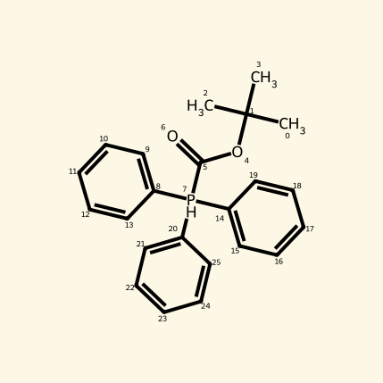 CC(C)(C)OC(=O)[PH](c1ccccc1)(c1ccccc1)c1ccccc1